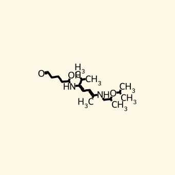 C/C(=C\C=C(\NC(O)CCCC=O)C(C)C)NCC(C)OC(C)C